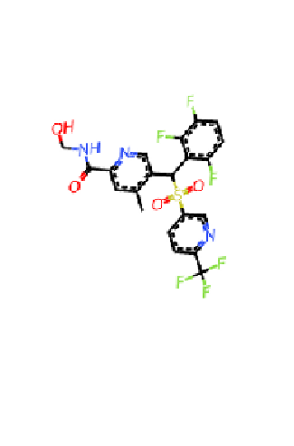 Cc1cc(C(=O)NCO)ncc1C(c1c(F)ccc(F)c1F)S(=O)(=O)c1ccc(C(F)(F)F)nc1